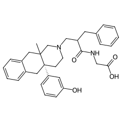 CC12Cc3ccccc3C[C@]1(c1cccc(O)c1)CCN(CC(Cc1ccccc1)C(=O)NCC(=O)O)C2